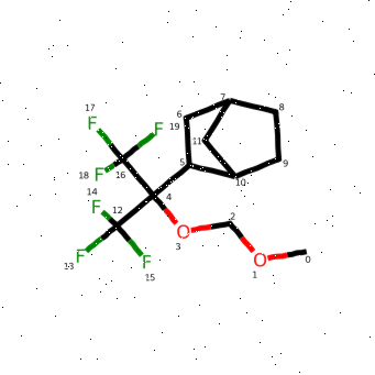 COCOC(C1CC2CCC1C2)(C(F)(F)F)C(F)(F)F